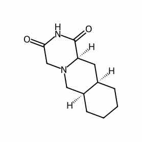 O=C1CN2C[C@@H]3CCCC[C@@H]3C[C@@H]2C(=O)N1